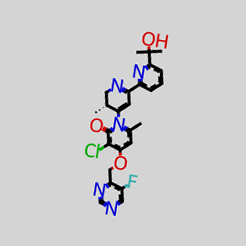 Cc1cc(OCc2ncncc2F)c(Cl)c(=O)n1C1=CC(c2cccc(C(C)(C)O)n2)=NC[C@H]1C